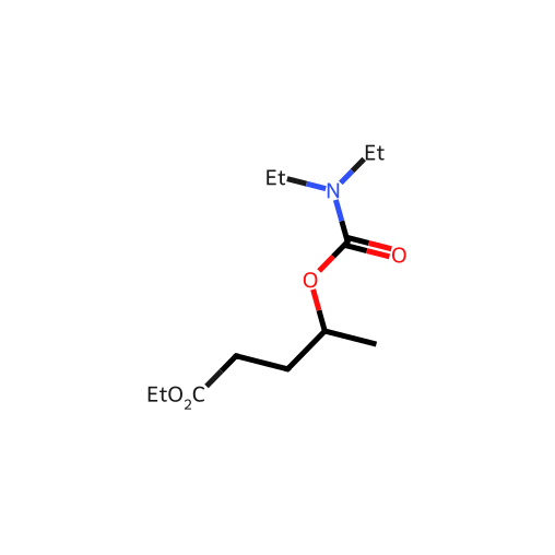 CCOC(=O)CCC(C)OC(=O)N(CC)CC